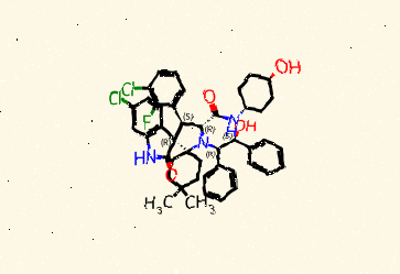 CC1(C)CCC2(CC1)N([C@H](c1ccccc1)[C@@H](O)c1ccccc1)[C@@H](C(=O)N[C@H]1CC[C@H](O)CC1)[C@H](c1cccc(Cl)c1F)[C@]21C(=O)Nc2cc(Cl)ccc21